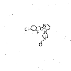 O=CCN1CCN(c2cccnc2OCc2ccc(Cl)cc2F)CC1